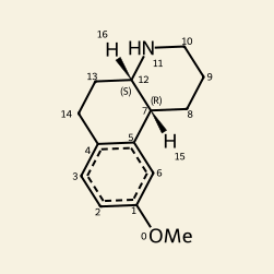 COc1ccc2c(c1)[C@H]1CCCN[C@H]1CC2